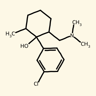 CC1CCCC(CN(C)C)C1(O)c1cccc(Cl)c1